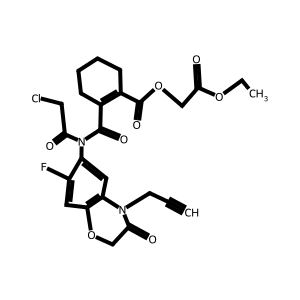 C#CCN1C(=O)COc2cc(F)c(N(C(=O)CCl)C(=O)C3=C(C(=O)OCC(=O)OCC)CCCC3)cc21